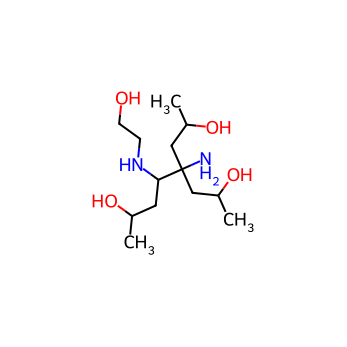 CC(O)CC(NCCO)C(N)(CC(C)O)CC(C)O